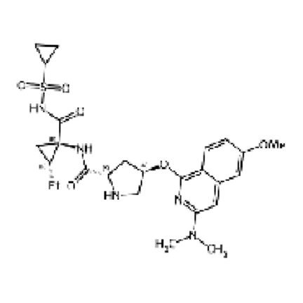 CC[C@@H]1C[C@]1(NC(=O)[C@@H]1C[C@@H](Oc2nc(N(C)C)cc3cc(OC)ccc23)CN1)C(=O)NS(=O)(=O)C1CC1